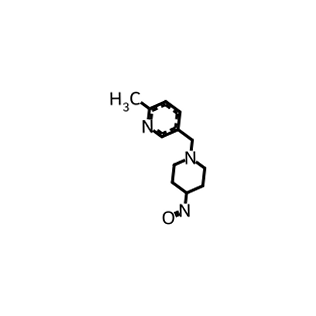 Cc1ccc(CN2CCC(N=O)CC2)cn1